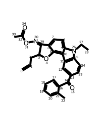 C=CCC1Oc2c(ccc3c2c2cc(C(=O)c4ccccc4C)ccc2n3CC)/C1=N/OC(C)=O